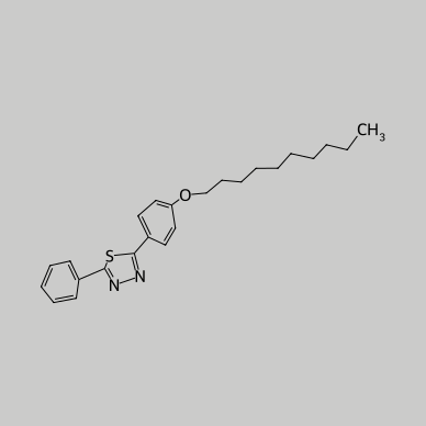 CCCCCCCCCCOc1ccc(-c2nnc(-c3ccccc3)s2)cc1